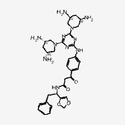 N[C@@H]1C[C@H](N)CN(c2nc(Nc3ccc(C(=O)CC(=O)NC(Cc4ccccc4)C4=COCO4)cc3)nc(N3C[C@H](N)C[C@H](N)C3)n2)C1